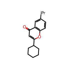 CC(C)c1ccc2oc(C3CCCCC3)cc(=O)c2c1